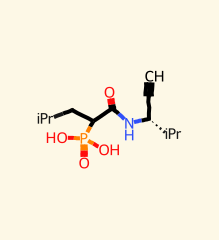 C#C[C@@H](NC(=O)C(CC(C)C)P(=O)(O)O)C(C)C